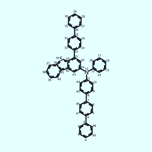 c1ccc(-c2ccc(-c3ccc(N(c4ccccc4)c4cc(-c5ccc(-c6ccccc6)cc5)c5sc6ccccc6c5c4)cc3)cc2)cc1